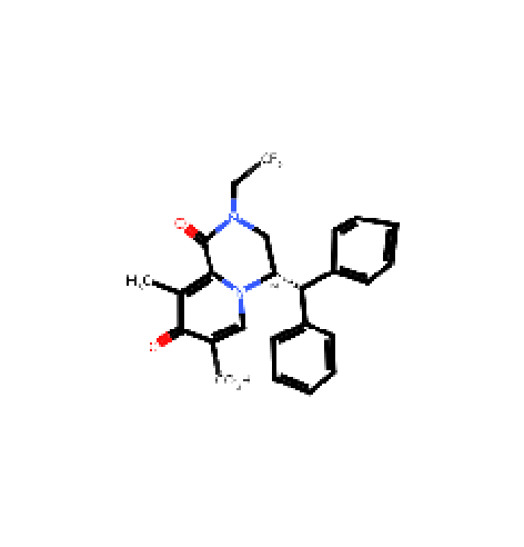 Cc1c2n(cc(C(=O)O)c1=O)[C@@H](C(c1ccccc1)c1ccccc1)CN(CC(F)(F)F)C2=O